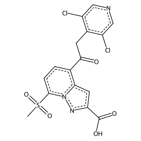 CS(=O)(=O)c1ccc(C(=O)Cc2c(Cl)cncc2Cl)c2cc(C(=O)O)nn12